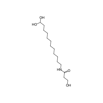 O=C(CCO)NCCCCCCCCCCCC(O)O